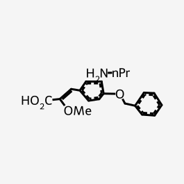 CCCN.CO/C(=C\c1ccc(OCc2ccccc2)cc1)C(=O)O